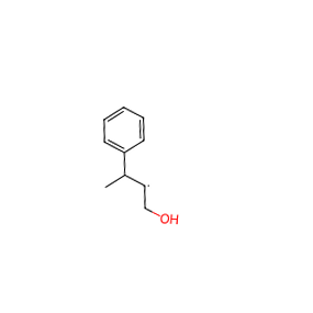 CC([CH]CO)c1ccccc1